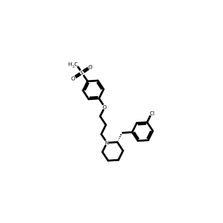 CS(=O)(=O)c1ccc(OCCCN2CCCC[C@H]2Cc2cccc(Cl)c2)cc1